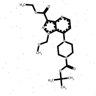 CCOC(=O)c1nn(COC)c2c(N3CCN(C(=O)OC(C)(C)C)CC3)ccnc12